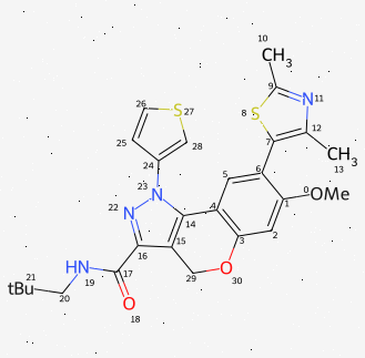 COc1cc2c(cc1-c1sc(C)nc1C)-c1c(c(C(=O)NCC(C)(C)C)nn1-c1ccsc1)CO2